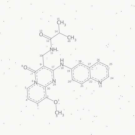 COc1cccn2c(=O)c(CNC(=O)C(C)C)c(Nc3ccc4ncccc4c3)nc12